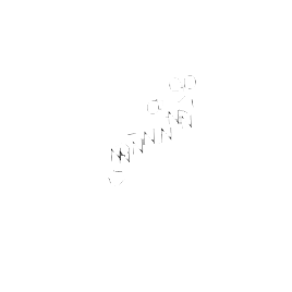 COC(=O)c1ccc2nc(CN3CCN(c4ccc5cnn(Cc6ccccc6)c5n4)CC3)n(CC3CCO3)c2c1